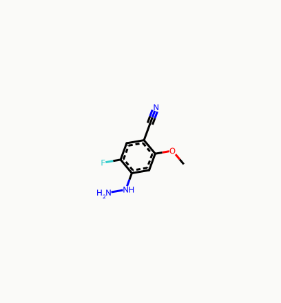 COc1cc(NN)c(F)cc1C#N